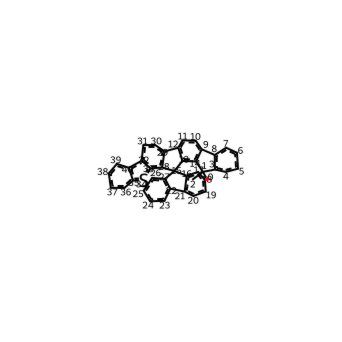 CC1(C)c2ccccc2-c2ccc3c(c21)C1(c2ccccc2-c2ccccc21)c1c-3ccc2c1sc1ccccc12